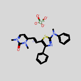 CN(c1ccccc1)c1nc(-c2ccccc2)c(/C=C/c2cc[n+](C)c(=O)n2C)s1.[O-][Cl+3]([O-])([O-])[O-]